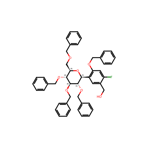 OCc1cc([C@@H]2O[C@H](COCc3ccccc3)[C@@H](OCc3ccccc3)[C@H](OCc3ccccc3)[C@H]2OCc2ccccc2)c(OCc2ccccc2)cc1F